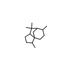 CC1CCC23CC1C(C)(C)C2CCC3C